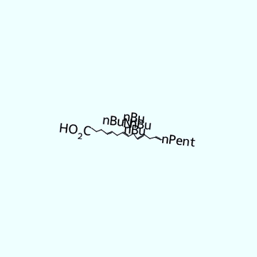 CCCCCC=CCC=CCC=CCC=CCCCC(=O)O.CCCC[N+](CCCC)(CCCC)CCCC